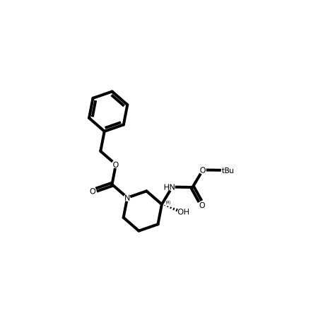 CC(C)(C)OC(=O)N[C@@]1(O)CCCN(C(=O)OCc2ccccc2)C1